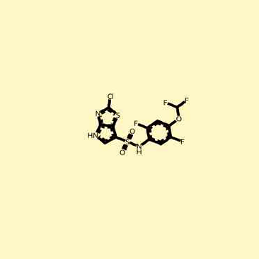 O=S(=O)(Nc1cc(F)c(OC(F)F)cc1F)c1c[nH]c2nc(Cl)sc12